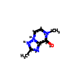 Cc1nc2c(=O)n(C)ccn2n1